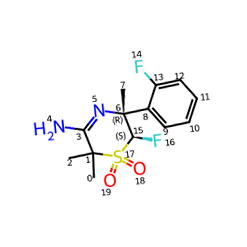 CC1(C)C(N)=N[C@](C)(c2ccccc2F)[C@@H](F)S1(=O)=O